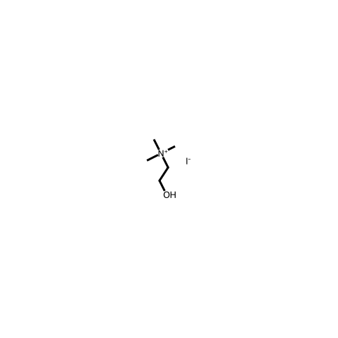 C[N+](C)(C)CCO.[I-]